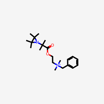 CC(C)(C(=O)OCC[N+](C)(C)Cc1ccccc1)N1C(C)(C)C1(C)C